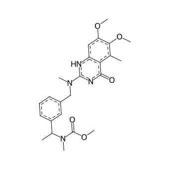 COC(=O)N(C)C(C)c1cccc(CN(C)c2nc(=O)c3c(C)c(OC)c(OC)cc3[nH]2)c1